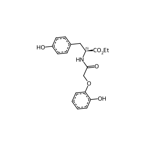 CCOC(=O)[C@H](Cc1ccc(O)cc1)NC(=O)COc1ccccc1O